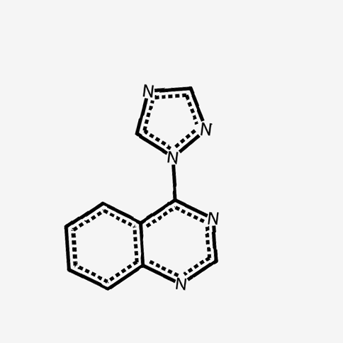 c1ccc2c(-n3cncn3)ncnc2c1